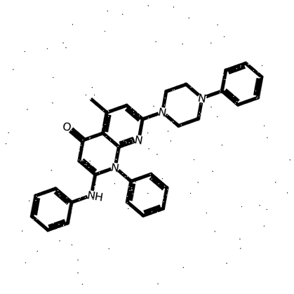 Cc1cc(N2CCN(c3ccccc3)CC2)nc2c1c(=O)cc(Nc1ccccc1)n2-c1ccccc1